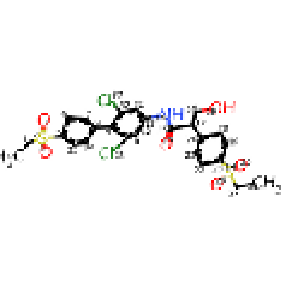 CCS(=O)(=O)c1ccc(-c2c(Cl)cc(NC(=O)C(CO)c3ccc(S(=O)(=O)CC)cc3)cc2Cl)cc1